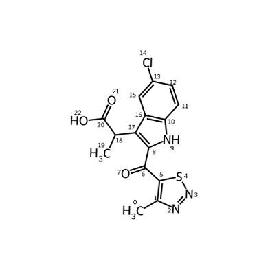 Cc1nnsc1C(=O)c1[nH]c2ccc(Cl)cc2c1C(C)C(=O)O